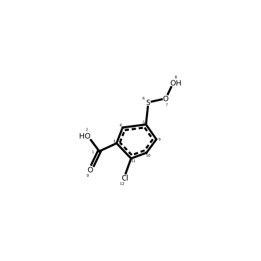 O=C(O)c1cc(SOO)ccc1Cl